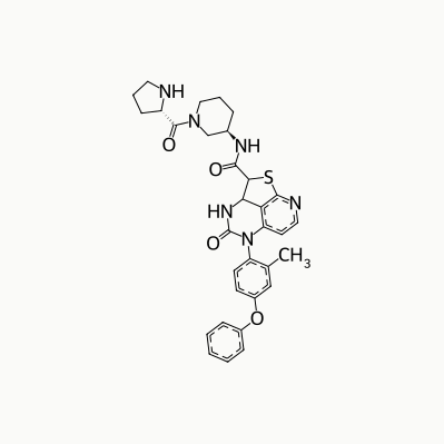 Cc1cc(Oc2ccccc2)ccc1N1C(=O)NC2c3c1ccnc3SC2C(=O)N[C@@H]1CCCN(C(=O)[C@@H]2CCCN2)C1